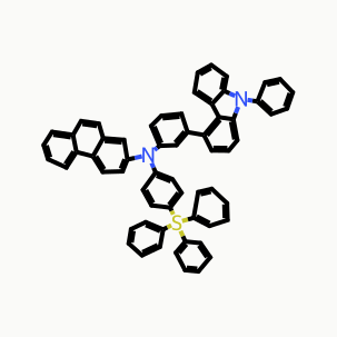 c1ccc(-n2c3ccccc3c3c(-c4cccc(N(c5ccc(S(c6ccccc6)(c6ccccc6)c6ccccc6)cc5)c5ccc6c(ccc7ccccc76)c5)c4)cccc32)cc1